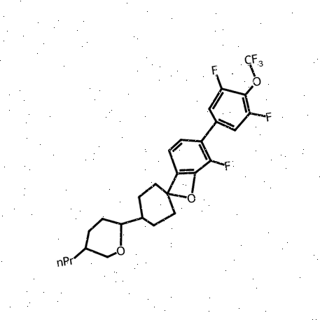 CCCC1CCC(C2CCC3(CC2)Oc2c3ccc(-c3cc(F)c(OC(F)(F)F)c(F)c3)c2F)OC1